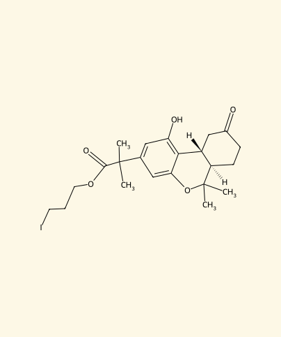 CC(C)(C(=O)OCCCI)c1cc(O)c2c(c1)OC(C)(C)[C@@H]1CCC(=O)C[C@@H]21